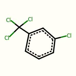 Clc1cccc(C(Cl)(Cl)Cl)c1